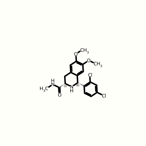 CNC(=O)[C@@H]1Cc2cc(OC)c(OC)cc2[C@H](c2ccc(Cl)cc2Cl)N1